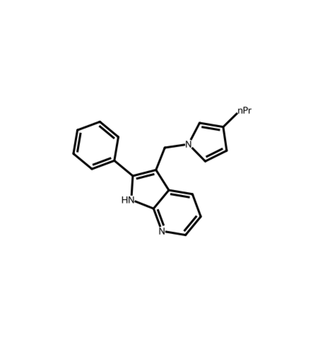 CCCc1ccn(Cc2c(-c3ccccc3)[nH]c3ncccc23)c1